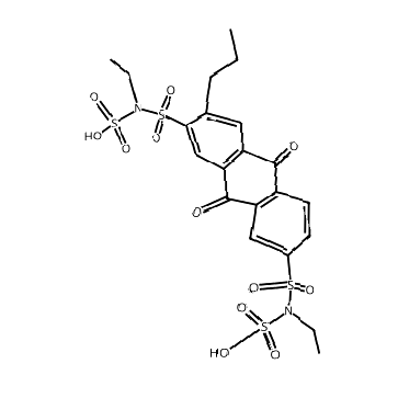 CCCc1cc2c(cc1S(=O)(=O)N(CC)S(=O)(=O)O)C(=O)c1cc(S(=O)(=O)N(CC)S(=O)(=O)O)ccc1C2=O